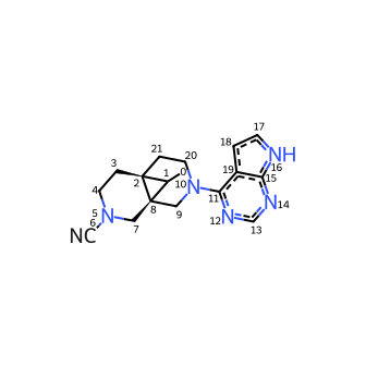 CC1[C@]23CCN(C#N)C[C@]12CN(c1ncnc2[nH]ccc12)CC3